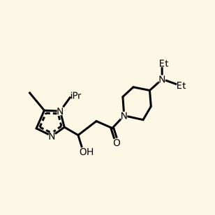 CCN(CC)C1CCN(C(=O)CC(O)c2ncc(C)n2C(C)C)CC1